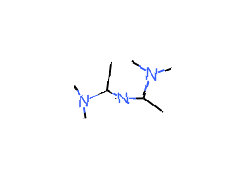 CC([N]C(C)N(C)C)N(C)C